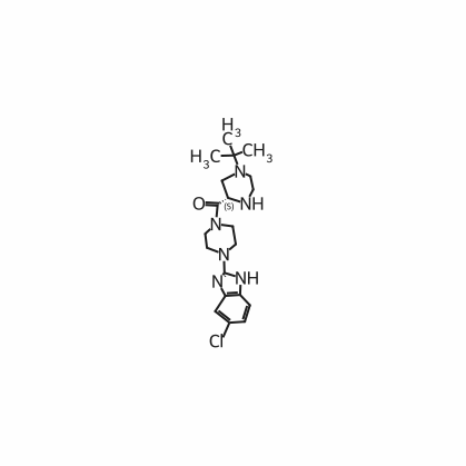 CC(C)(C)N1CCN[C@H](C(=O)N2CCN(c3nc4cc(Cl)ccc4[nH]3)CC2)C1